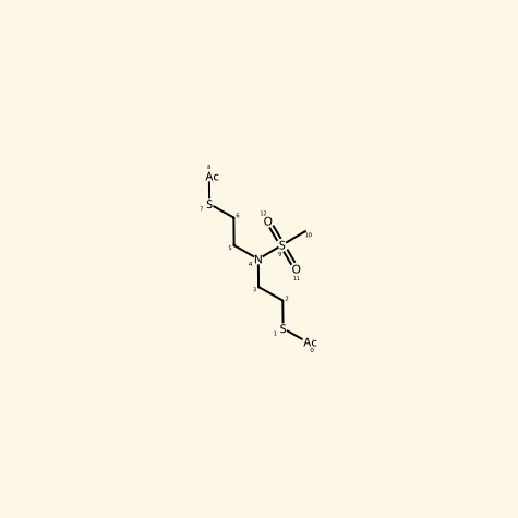 CC(=O)SCCN(CCSC(C)=O)S(C)(=O)=O